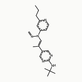 C=NN(/C=C(\C)c1cnc(NC(C)(C)C)nc1)c1ccnc(CCC)c1